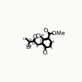 COC(=O)c1ccc(Cl)c(CC(=O)C(C)Br)c1Cl